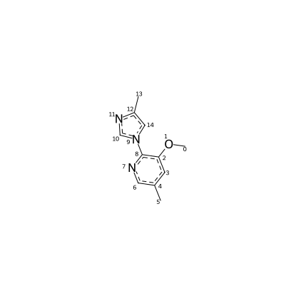 COc1cc(C)cnc1-n1cnc(C)c1